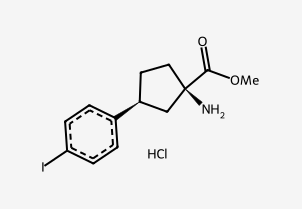 COC(=O)[C@@]1(N)CC[C@H](c2ccc(I)cc2)C1.Cl